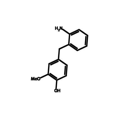 COc1cc(Cc2ccccc2N)ccc1O